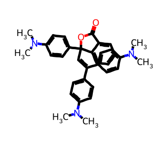 CN(C)c1ccc(C(=CC2(c3ccc(N(C)C)cc3)OC(=O)c3ccccc32)c2ccc(N(C)C)cc2)cc1